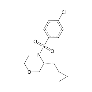 O=S(=O)(c1ccc(Cl)cc1)N1CCOC[C@H]1CC1CC1